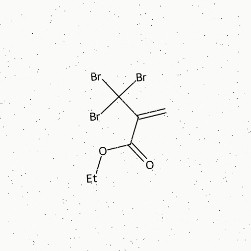 C=C(C(=O)OCC)C(Br)(Br)Br